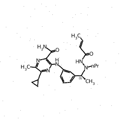 CC=CC(=O)NN(CCC)[C@@H](C)c1cccc(Nc2nc(C3CC3)c(C)nc2C(N)=O)c1